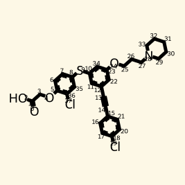 O=C(O)COc1ccc(Sc2cc(C#Cc3ccc(Cl)cc3)cc(OCCCN3CCCCC3)c2)cc1Cl